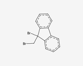 BrCC1(Br)c2ccccc2-c2ccccc21